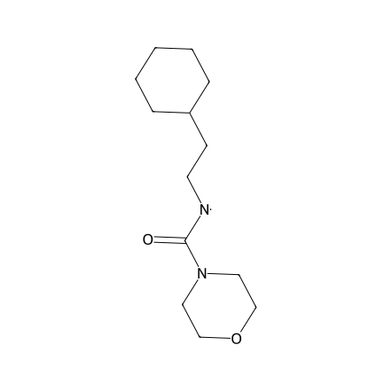 O=C([N]CCC1CCCCC1)N1CCOCC1